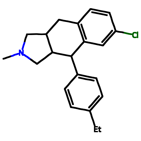 CCc1ccc(C2c3cc(Cl)ccc3CC3CN(C)CC32)cc1